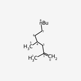 C=C(C)CC(C)CCCCCC